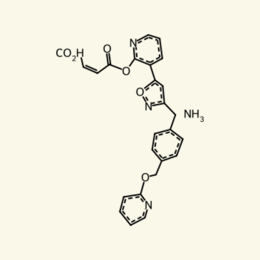 N.O=C(O)/C=C\C(=O)Oc1ncccc1-c1cc(Cc2ccc(COc3ccccn3)cc2)no1